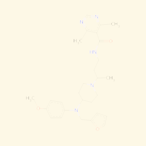 COc1ccc(N(Cc2ccco2)C2CCN(C(C)CCNC(=O)c3c(C)ncnc3C)CC2)cc1